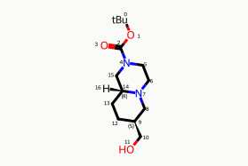 CC(C)(C)OC(=O)N1CCN2C[C@@H](CO)CC[C@@H]2C1